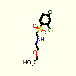 O=C(O)COCCNCS(=O)(=O)c1ccc(Cl)cc1Cl